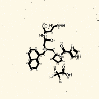 CSCCC(NC(=O)CN(Cc1cccc2ccccc12)C[C@@H]1CCCN1C(=O)c1c[nH]cn1)C(=O)O.O=C(O)C(F)(F)F